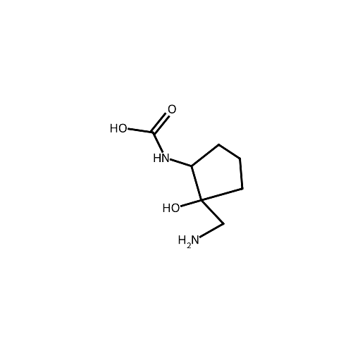 NCC1(O)CCCC1NC(=O)O